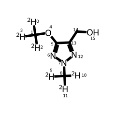 [2H]C([2H])([2H])Oc1nn(C([2H])([2H])[2H])nc1CO